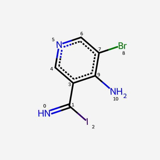 N=C(I)c1cncc(Br)c1N